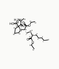 CCCCC[C@H](SC[C@@H](C(=O)OCC)N1CCCC1(C(=O)O)C(=O)C(C)N)C(=O)OCC